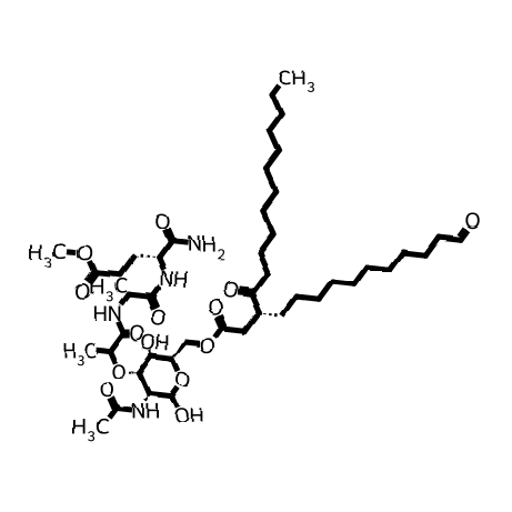 CCCCCCCCCCCC(=O)[C@H](CCCCCCCCCCC=O)CC(=O)OC[C@H]1OC(O)[C@H](NC(C)=O)[C@H](OC(C)C(=O)N[C@@H](C)C(=O)N[C@H](CCC(=O)OC)C(N)=O)[C@@H]1O